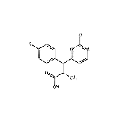 CC(C(=O)O)C(c1ccc(F)cc1)c1ccnc(Cl)n1